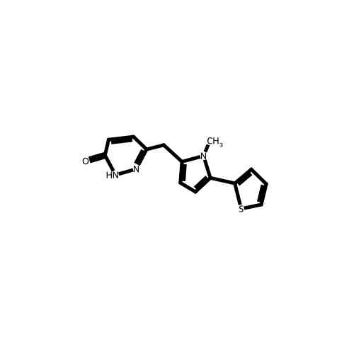 Cn1c(Cc2ccc(=O)[nH]n2)ccc1-c1cccs1